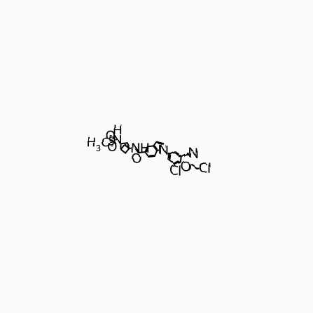 CS(=O)(=O)NC1CC2(NC(=O)c3ccc4c(ccn4-c4cc(Cl)c(OCCCl)c(C#N)c4)c3)CC1C2